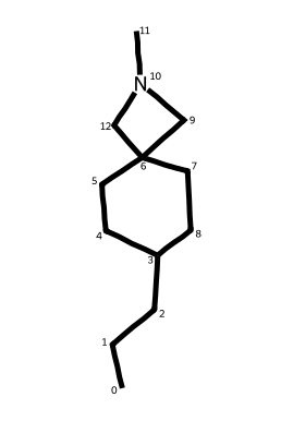 CCCC1CCC2(CC1)CN(C)C2